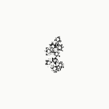 c1ccc(-c2nc(-c3cccc(-n4c5ccccc5c5ccc6c(c7ccccc7n6-c6ccccc6)c54)c3)nc(-c3cccc4oc5ccccc5c34)n2)cc1